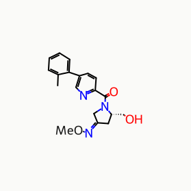 CO/N=C1/C[C@@H](CO)N(C(=O)c2ccc(-c3ccccc3C)cn2)C1